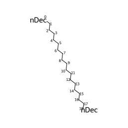 [CH2]CCCCCCCCCCCCCCCCCCCCCCCCCCCCCCCCCCC[CH2]